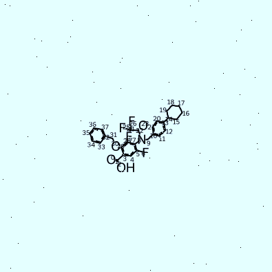 O=C(O)c1cc(F)c(N(Cc2ccc(C3CCCCC3)cc2)C(=O)C(F)(F)F)cc1OCc1ccccc1